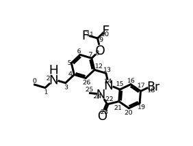 CCNCc1ccc(OC(F)F)c(Cn2c3cc(Br)ccc3c(=O)n2C)c1